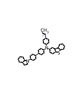 C/C=C/c1ccc(N(c2ccc(-c3ccc(-n4ccc5ccccc54)cc3)cc2)c2ccc3sc4ccccc4c3c2)cc1